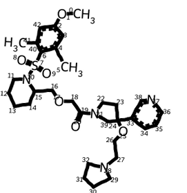 COc1cc(C)c(S(=O)(=O)N2CCCCC2COCC(=O)N2CCC(OCCN3CCCC3)(c3cccnc3)C2)c(C)c1